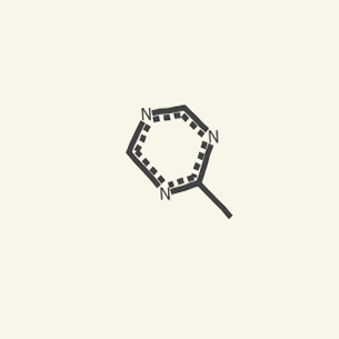 Cc1ncncn1